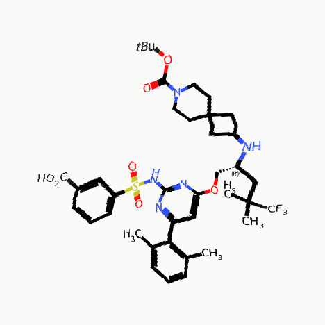 Cc1cccc(C)c1-c1cc(OC[C@@H](CC(C)(C)C(F)(F)F)NC2CC3(CCN(C(=O)OC(C)(C)C)CC3)C2)nc(NS(=O)(=O)c2cccc(C(=O)O)c2)n1